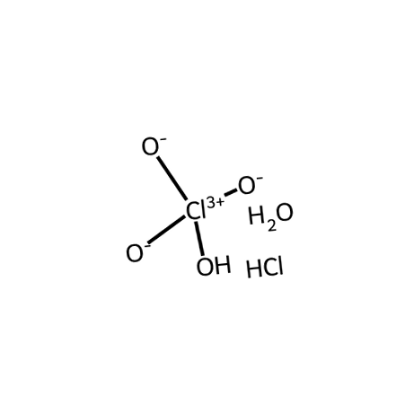 Cl.O.[O-][Cl+3]([O-])([O-])O